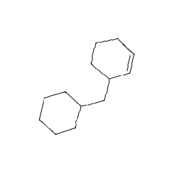 C1=CC(CC2CCCCC2)CCC1